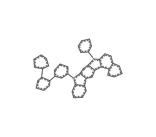 c1ccc(-c2ccccc2-c2cccc(-n3c4ccccc4c4cc5c6c7ccccc7ccc6n(-c6ccccc6)c5cc43)c2)cc1